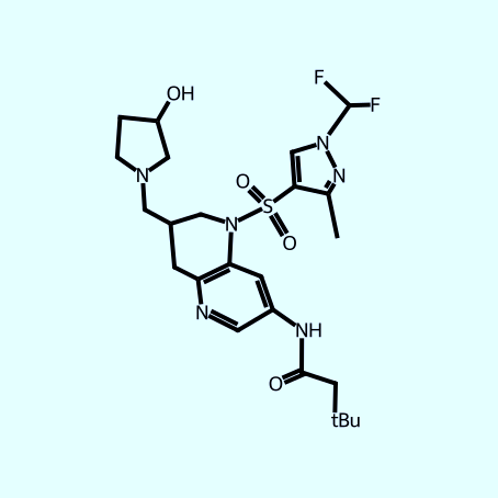 Cc1nn(C(F)F)cc1S(=O)(=O)N1CC(CN2CCC(O)C2)Cc2ncc(NC(=O)CC(C)(C)C)cc21